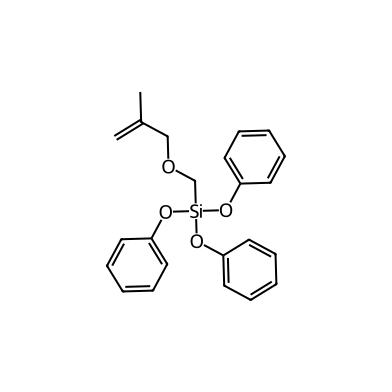 C=C(C)COC[Si](Oc1ccccc1)(Oc1ccccc1)Oc1ccccc1